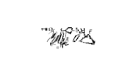 C=C(/C=C(F)\C=C(/C)C(C)(C)O)c1ccc(NC(=O)Cc2ccccc2F)cc1S(N)(=O)=O